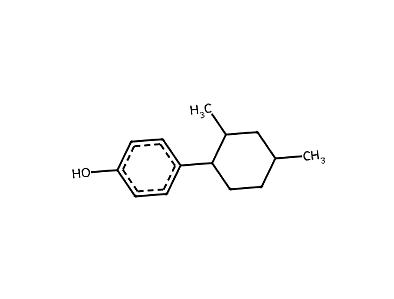 CC1CCC(c2ccc(O)cc2)C(C)C1